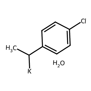 C[CH]([K])c1ccc(Cl)cc1.O